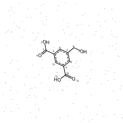 O=C(O)c1cc(CO)cc(C(=O)O)c1